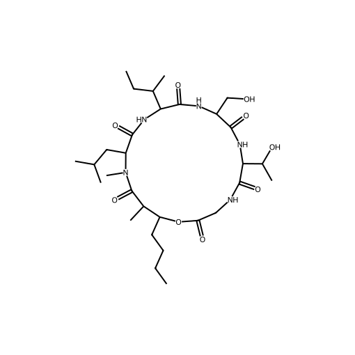 CCCCC1OC(=O)CNC(=O)C(C(C)O)NC(=O)C(CO)NC(=O)C(C(C)CC)NC(=O)C(CC(C)C)N(C)C(=O)C1C